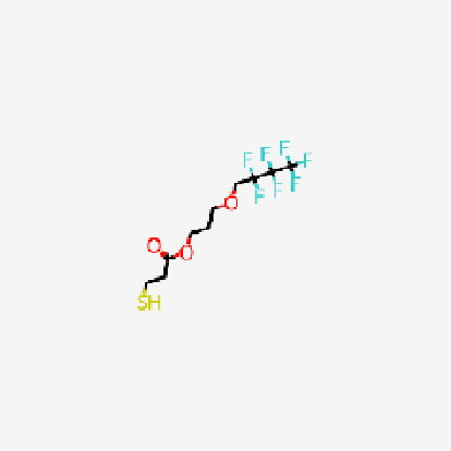 O=C(CCS)OCCCOCC(F)(F)C(F)(F)C(F)(F)F